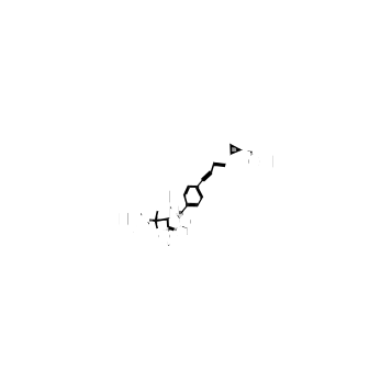 COC(=O)[C@@H](NC(=O)c1ccc(C#C/C=C/[C@@H]2C[C@H]2CO)cc1)C(C)(C)N